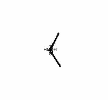 CCCCCCCCCCCCCCCCCC(=O)OCC(CO)(CO)COC(=O)CCCCCCCCCCCCCCCCC